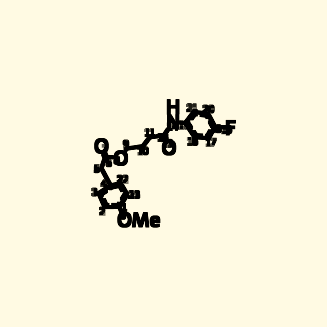 COc1ccc(CC(=O)OCCCC(=O)Nc2ccc(F)cc2)cc1